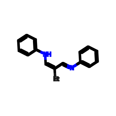 CCC(=C/Nc1ccccc1)/C=N/c1ccccc1